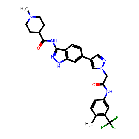 Cc1ccc(NC(=O)Cn2cc(-c3ccc4c(NC(=O)C5CCN(C)CC5)n[nH]c4c3)cn2)cc1C(F)(F)F